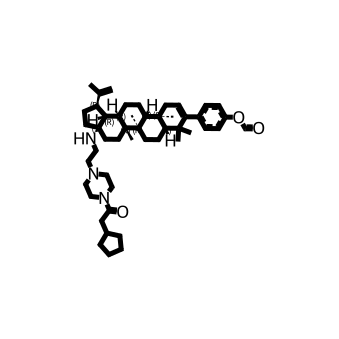 C=C(C)[C@@H]1CC[C@]2(NCCN3CCN(C(=O)CC4CCCC4)CC3)CC[C@]3(C)[C@H](CC[C@@H]4[C@@]5(C)CC=C(c6ccc(OC=O)cc6)C(C)(C)[C@@H]5CC[C@]43C)[C@@H]12